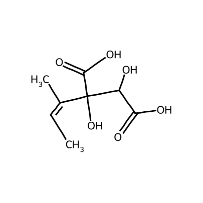 CC=C(C)C(O)(C(=O)O)C(O)C(=O)O